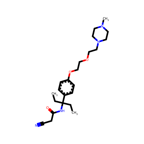 CCC(CC)(NC(=O)CC#N)c1ccc(OCCOCCN2CCN(C)CC2)cc1